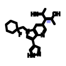 CC(=N)/C(=C(/C)O)c1cnc2c(-c3cn[nH]c3)cn(CC3(F)CCCCC3)c2c1